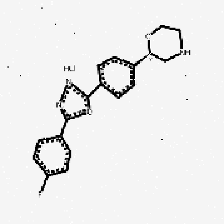 Cl.Fc1ccc(-c2nnc(-c3ccc([C@@H]4CNCCO4)cc3)o2)cc1